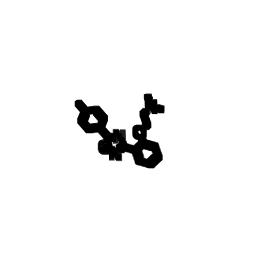 Cc1ccc(-c2nc(-c3ccccc3OCCN(C)C)no2)cc1